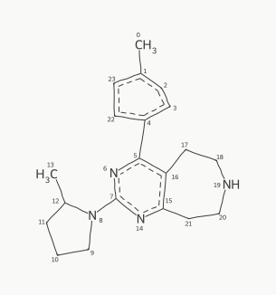 Cc1ccc(-c2nc(N3CCCC3C)nc3c2CCNCC3)cc1